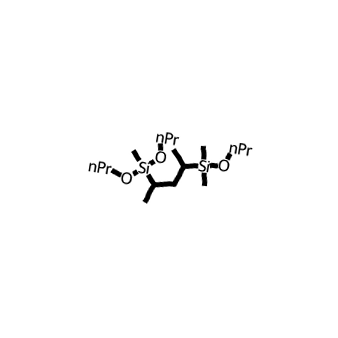 CCCO[Si](C)(C)C(C)CC(C)[Si](C)(OCCC)OCCC